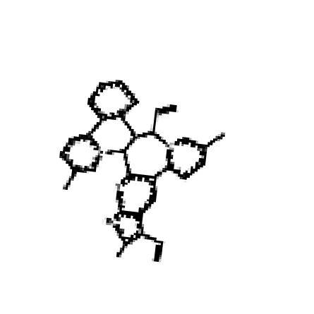 C=Cc1c(C)[nH]c2nc3c(cc12)-c1ccc(C)c[n+]1C(C=C)C1c2ccccc2-c2ccc(C)c[n+]2C31